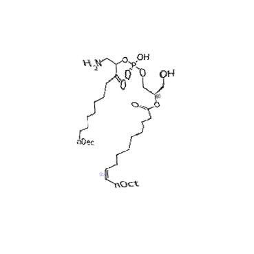 CCCCCCCC/C=C\CCCCCCCC(=O)O[C@H](CO)COP(=O)(O)OC(CN)C(=O)CCCCCCCCCCCCCCCCC